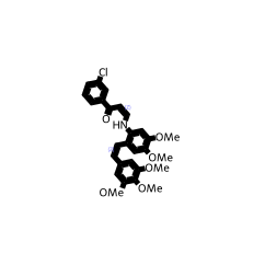 COc1cc(/C=C\c2cc(OC)c(OC)c(OC)c2)c(N/C=C\C(=O)c2cccc(Cl)c2)cc1OC